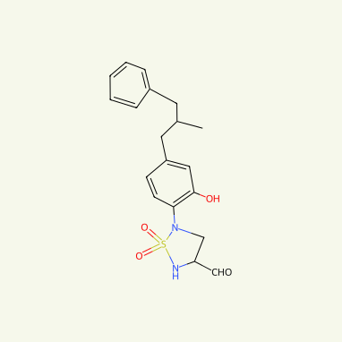 CC(Cc1ccccc1)Cc1ccc(N2CC(C=O)NS2(=O)=O)c(O)c1